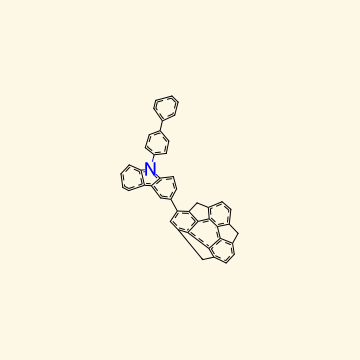 c1ccc(-c2ccc(-n3c4ccccc4c4cc(-c5cc6c7c8c(ccc9c8c8c(ccc%10c8c7c5C%10)C9)C6)ccc43)cc2)cc1